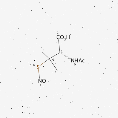 CC(=O)N[C@@H](C(=O)O)C(C)(C)SN=O